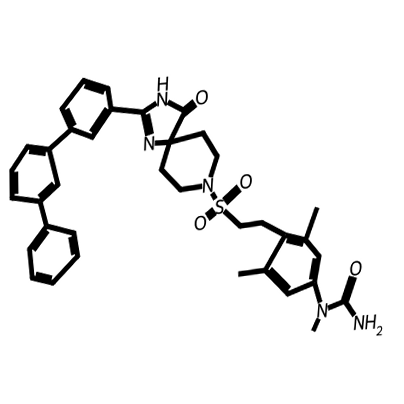 Cc1cc(N(C)C(N)=O)cc(C)c1CCS(=O)(=O)N1CCC2(CC1)N=C(c1cccc(-c3cccc(-c4ccccc4)c3)c1)NC2=O